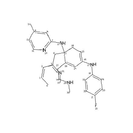 C/C=C\C(CC1(Nc2cc(C)ccn2)CC=C(Nc2ccc(F)cc2)C=C1CCNC)=N/C